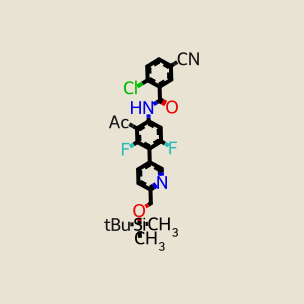 CC(=O)c1c(NC(=O)c2cc(C#N)ccc2Cl)cc(F)c(-c2ccc(CO[Si](C)(C)C(C)(C)C)nc2)c1F